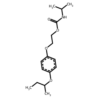 CCC(C)Oc1ccc(OCCOC(=O)NC(C)C)cc1